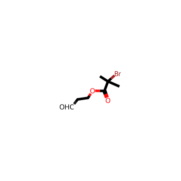 CC(C)(Br)C(=O)OCCC=O